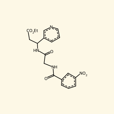 CCOC(=O)CC(NC(=O)CNC(=O)c1cccc([N+](=O)[O-])c1)c1cccnc1